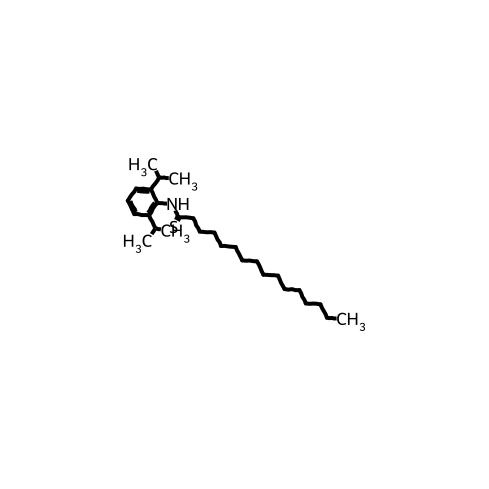 CCCCCCCCCCCCCCCC(=S)Nc1c(C(C)C)cccc1C(C)C